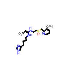 COc1cccnc1C[S+]([O-])CCNC(=C[N+](=O)[O-])NCCCCc1c[nH]cn1